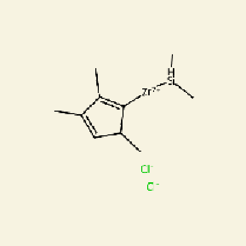 CC1=CC(C)[C]([Zr+2][SiH](C)C)=C1C.[Cl-].[Cl-]